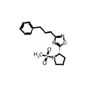 CS(=O)(=O)N1CCC[C@H]1c1nc(CCCc2ccccc2)no1